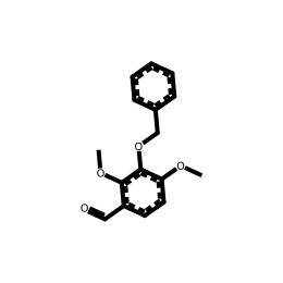 COc1ccc(C=O)c(OC)c1OCc1ccccc1